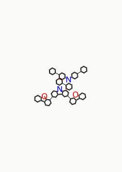 c1ccc(-c2ccc(N(c3ccc(-c4ccccc4)cc3)c3ccccc3-c3ccccc3-n3c4ccc(-c5cccc6c5oc5ccccc56)cc4c4cc(-c5cccc6c5oc5ccccc56)ccc43)cc2)cc1